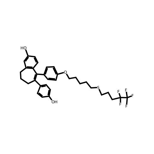 Oc1ccc(C2=C(c3ccc(OCCCCCSCCCC(F)(F)C(F)(F)F)cc3)c3ccc(O)cc3CCC2)cc1